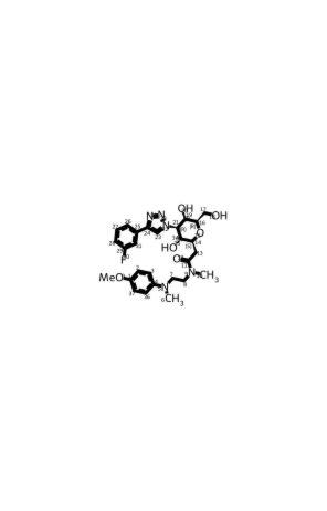 COc1ccc(N(C)CCN(C)C(=O)C[C@@H]2O[C@H](CO)[C@H](O)[C@H](n3cc(-c4cccc(F)c4)nn3)[C@H]2O)cc1